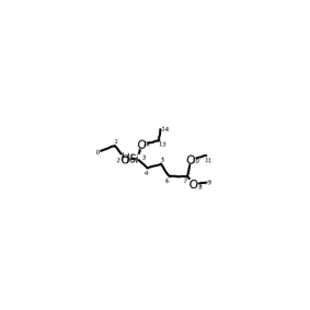 CCO[SiH](CCCC(OC)OC)OCC